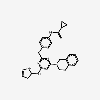 O=C(Nc1ccc(Sc2nc(NC3CC=NN3)cc(N3CCc4ccccc4C3)n2)cc1)C1CC1